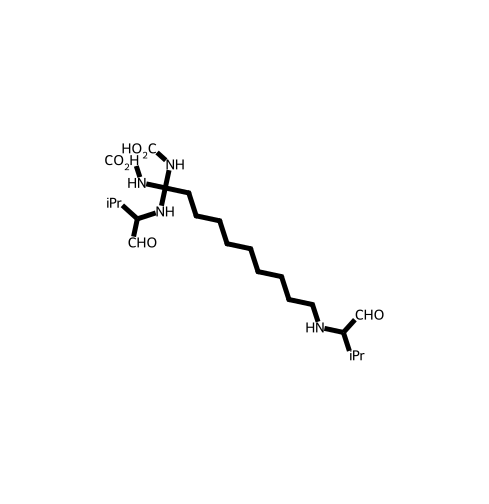 CC(C)C(C=O)NCCCCCCCCCC(NC(=O)O)(NC(=O)O)NC(C=O)C(C)C